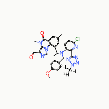 [2H]C([2H])([2H])n1nnc(-c2nc(Cl)ccc2N(Cc2ccc(OC)cc2)C(C)c2cc(C)cc3c(=O)n(C)c4c(C=O)ncn4c23)n1